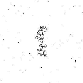 O=C(OCCS(=O)(=O)c1ccc([N+](=O)[O-])cn1)c1cccc(Cl)c1